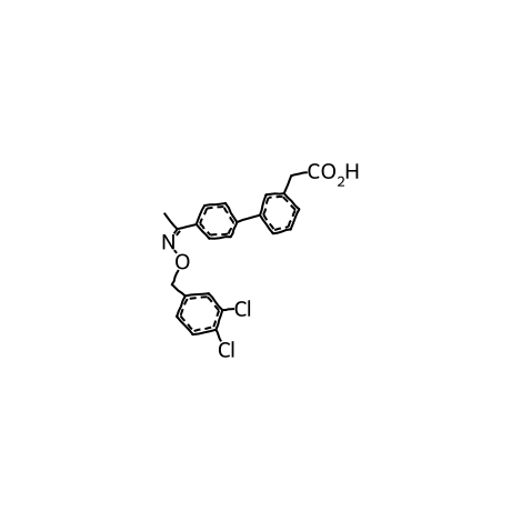 CC(=NOCc1ccc(Cl)c(Cl)c1)c1ccc(-c2cccc(CC(=O)O)c2)cc1